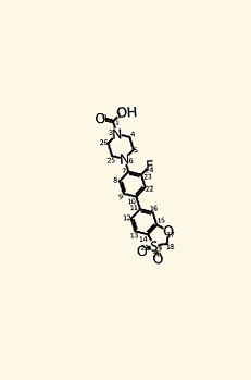 O=C(O)N1CCN(c2ccc(-c3ccc4c(c3)OCS4(=O)=O)cc2F)CC1